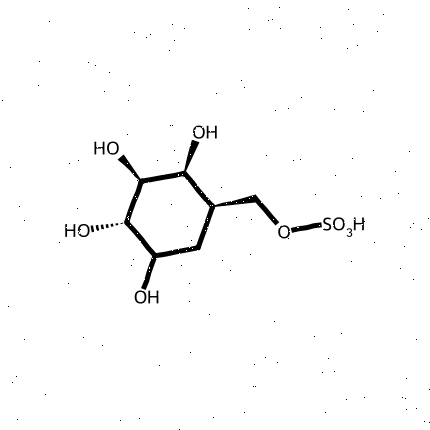 O=S(=O)(O)OC[C@H]1CC(O)[C@H](O)[C@@H](O)[C@H]1O